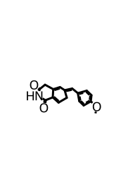 COc1ccc(C=C2C=C3CC(=O)NC(=O)C3=CC2)cc1